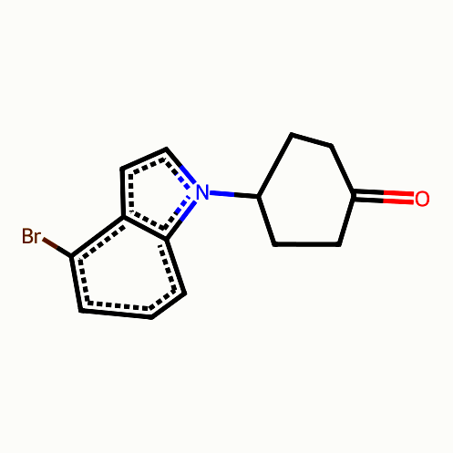 O=C1CCC(n2ccc3c(Br)cccc32)CC1